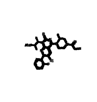 C=CC(=O)N1CCN(c2nc(=O)n([C@H](C)C(C)OC)c3nc(-c4ccccc4F)c(Cl)cc23)[C@@H](C)C1